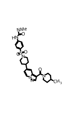 CNC(=O)Nc1ccc(S(=O)(=O)N2CCC(c3ccn4ncc(C(=O)N5CCC(C)CC5)c4c3)CC2)cc1